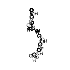 N#Cc1cnn2cc(-c3cnn(C4CCN(C(=O)CC5(O)CCN(c6ccc(NC7CCC(=O)NC7=O)cc6F)CC5)CC4)c3)nc(-c3ccc(N4CCC(O)(Cc5ccccc5)CC4)nc3)c12